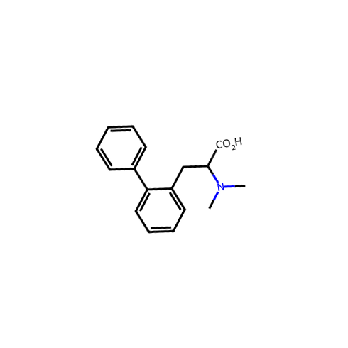 CN(C)C(Cc1ccccc1-c1ccccc1)C(=O)O